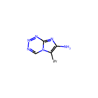 CC(C)c1c(N)nc2nnncn12